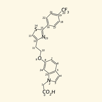 O=C(O)Cn1ccc2ccc(OCCc3csc(-c4ccc(C(F)(F)F)cc4)n3)cc21